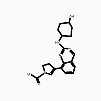 CC(=O)N1C=C(c2cccc3cnc(NC4CCC(O)CC4)nc23)CC1